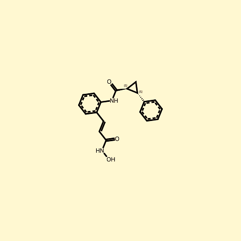 O=C(C=Cc1ccccc1NC(=O)[C@H]1C[C@@H]1c1ccccc1)NO